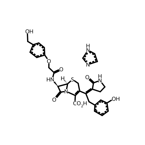 O=C(COc1ccc(CO)cc1)N[C@@H]1C(=O)N2C(C(=O)O)=C(C(Cc3cccc(O)c3)=C3CCNC3=O)CS[C@H]12.c1c[nH]cn1